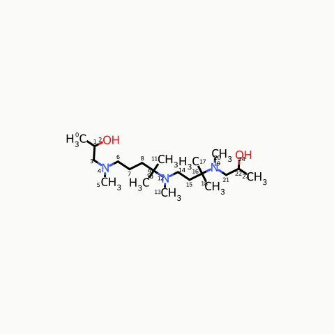 CC(O)CN(C)CCCC(C)(C)N(C)CCC(C)(C)N(C)CC(C)O